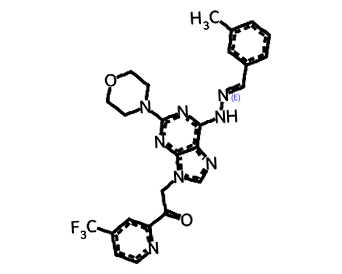 Cc1cccc(/C=N/Nc2nc(N3CCOCC3)nc3c2ncn3CC(=O)c2cc(C(F)(F)F)ccn2)c1